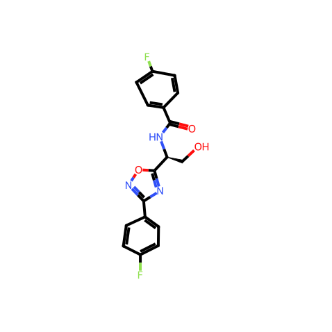 O=C(N[C@@H](CO)c1nc(-c2ccc(F)cc2)no1)c1ccc(F)cc1